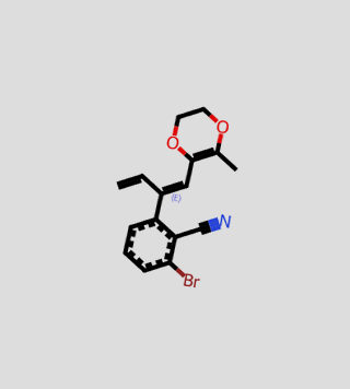 C=C/C(=C\C1=C(C)OCCO1)c1cccc(Br)c1C#N